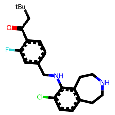 CC(C)(C)CC(=O)c1ccc(CNc2c(Cl)ccc3c2CCNCC3)cc1F